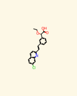 CCO[C@@H](C(=O)O)c1cccc(/C=C/c2ccc3ccc(Cl)cc3n2)c1